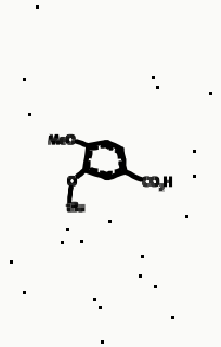 COc1ccc(C(=O)O)cc1OC(C)(C)C